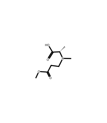 COC(=O)CCN(C)[C@@H](C)C(=O)O